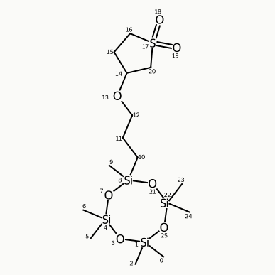 C[Si]1(C)O[Si](C)(C)O[Si](C)(CCCOC2CCS(=O)(=O)C2)O[Si](C)(C)O1